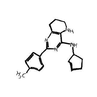 Cc1ccc(-c2nc3c(c(NC4CCCC4)n2)NCCC3)cc1